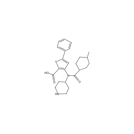 CC1CCC(C(=O)N(c2cc(-c3ccccc3)sc2C(=O)O)C2CCNCC2)CC1